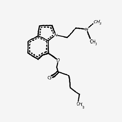 CCCCC(=O)Oc1cccc2ccn(CCN(C)C)c12